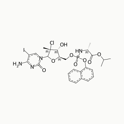 CC(C)OC(=O)[C@@H](C)NP(=O)(OC[C@H]1OC(n2cc(I)c(N)nc2=O)[C@](C)(Cl)[C@@H]1O)Oc1cccc2ccccc12